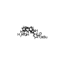 CC(C)(C)OC(=O)N1CCCC(c2nc3c(N[C@H]4[C@@H](C(N)=O)[C@@H]5C=C[C@H]4C5)c(Br)cnc3[nH]2)C1